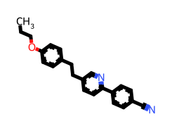 CCCOc1ccc(CCc2ccc(-c3ccc(C#N)cc3)nc2)cc1